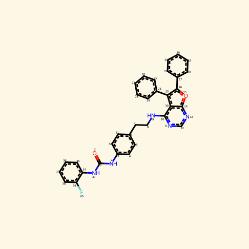 O=C(Nc1ccc(CCNc2ncnc3oc(-c4ccccc4)c(-c4ccccc4)c23)cc1)Nc1ccccc1F